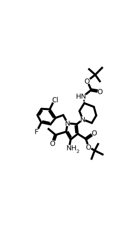 CC(=O)c1c(N)c(C(=O)OC(C)(C)C)c(N2CCC[C@@H](NC(=O)OC(C)(C)C)C2)n1Cc1cc(F)ccc1Cl